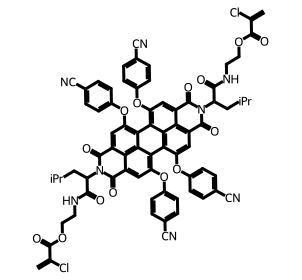 C=C(Cl)C(=O)OCCNC(=O)C(CC(C)C)N1C(=O)c2cc(Oc3ccc(C#N)cc3)c3c4c(Oc5ccc(C#N)cc5)cc5c6c(cc(Oc7ccc(C#N)cc7)c(c7c(Oc8ccc(C#N)cc8)cc(c2c37)C1=O)c64)C(=O)N(C(CC(C)C)C(=O)NCCOC(=O)C(=C)Cl)C5=O